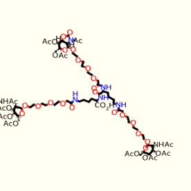 CC(=O)N[C@H]1C(OCCOCCOCCOCC(=O)NCCCCC(NC(=O)C(CCCCNC(=O)COCCOCCOCCOC2O[C@H](COC(C)=O)[C@H](OC(C)=O)[C@H](OC(C)=O)[C@H]2NC(C)=O)NC(=O)COCCOCCOCCO[C@@H]2O[C@H](COC(C)=O)[C@H](OC(C)=O)[C@@H]3OC(=O)N(C(C)=O)[C@@H]23)C(=O)O)O[C@H](COC(C)=O)[C@H](OC(C)=O)[C@@H]1OC(C)=O